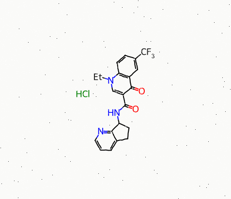 CCn1cc(C(=O)NC2CCc3cccnc32)c(=O)c2cc(C(F)(F)F)ccc21.Cl